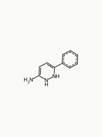 NC1=CC=C(c2ccccc2)NN1